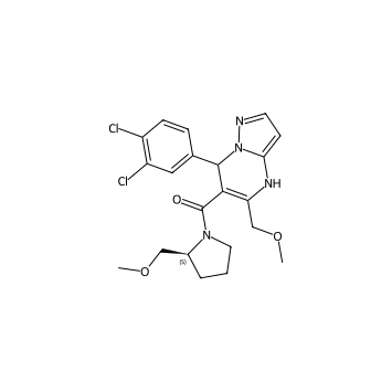 COCC1=C(C(=O)N2CCC[C@H]2COC)C(c2ccc(Cl)c(Cl)c2)n2nccc2N1